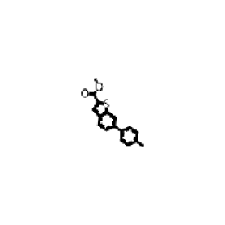 COC(=O)c1cc2ccc(-c3ccc(C)cc3)cc2s1